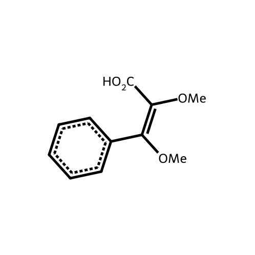 COC(C(=O)O)=C(OC)c1ccccc1